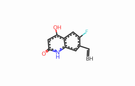 B=Cc1cc2[nH]c(=O)cc(O)c2cc1F